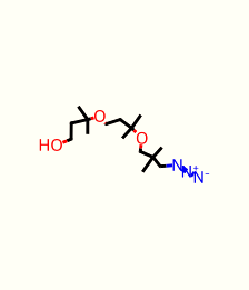 CC(C)(CN=[N+]=[N-])COC(C)(C)CCOC(C)(C)CCO